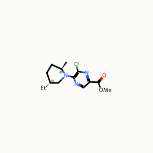 CC[C@@H]1CC[C@@H](C)N(c2ncc(C(=O)OC)nc2Cl)C1